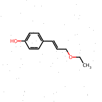 CCOCC=Cc1ccc(O)cc1